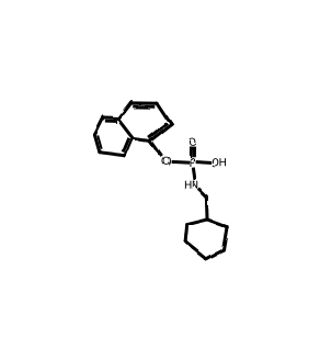 O=P(O)(NCC1CCCCC1)Oc1cccc2ccccc12